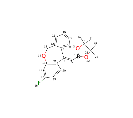 CC1(C)OB(/C=C2\c3ccccc3COc3cc(F)ccc32)OC1(C)C